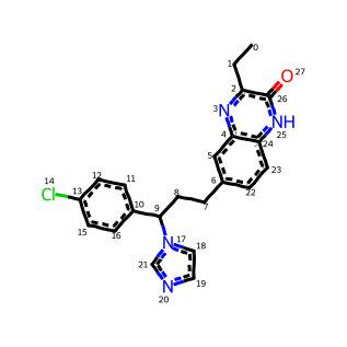 CCc1nc2cc(CCC(c3ccc(Cl)cc3)n3ccnc3)ccc2[nH]c1=O